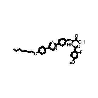 CCCCCCCOc1ccc(-c2cnc(-c3ccc(C[C@H](NC(=O)c4ccc(OC)cc4F)C(=O)O)cc3)nc2)cc1